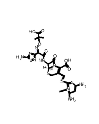 CN1C(SCC2=C(C(=O)O)N3C(=O)C(NC(=O)/C(=N\OC(C)(C)C(=O)O)c4nsc(N)n4)[C@@H]3SC2)=NC(N)=CC1N